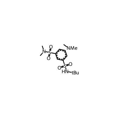 CN(C)S(=O)(=O)c1cccc(S(=O)(=O)NC(C)(C)C)c1.CNC